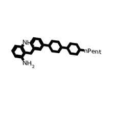 CCCCCC1CCC(C2CCC(c3cccc(Cc4c(N)cccc4N)c3)CC2)CC1